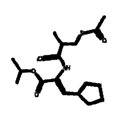 CC(=O)SCC(C)C(=O)NC(=CC1CCCC1)C(=O)OC(C)C